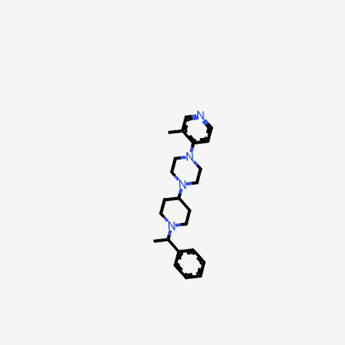 Cc1cnccc1N1CCN(C2CCN(C(C)c3ccccc3)CC2)CC1